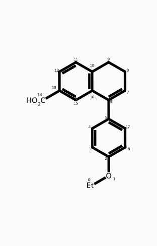 CCOc1ccc(C2=CCCc3ccc(C(=O)O)cc32)cc1